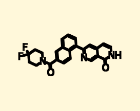 O=C(c1ccc2c(-c3cc4cc[nH]c(=O)c4cn3)cccc2c1)N1CCC(F)(F)CC1